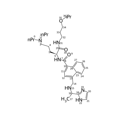 CCCN(CCC)CCC[C@H](NC(=O)c1ccc(CNC(C)c2ncc[nH]2)c2ccccc12)C(=O)NCCCOC(C)C